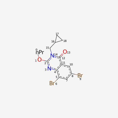 CCCOc1nc2c(Br)cc(Br)cc2c(=O)n1CC1CC1